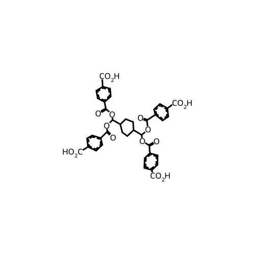 O=C(O)c1ccc(C(=O)OC(OC(=O)c2ccc(C(=O)O)cc2)C2CCC(C(OC(=O)c3ccc(C(=O)O)cc3)OC(=O)c3ccc(C(=O)O)cc3)CC2)cc1